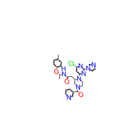 Cc1ccc(OC(C)NC(=O)CC2CN(C(=O)c3cccnc3)CCN2c2cc(Cl)nc(-n3ccnc3)n2)cc1